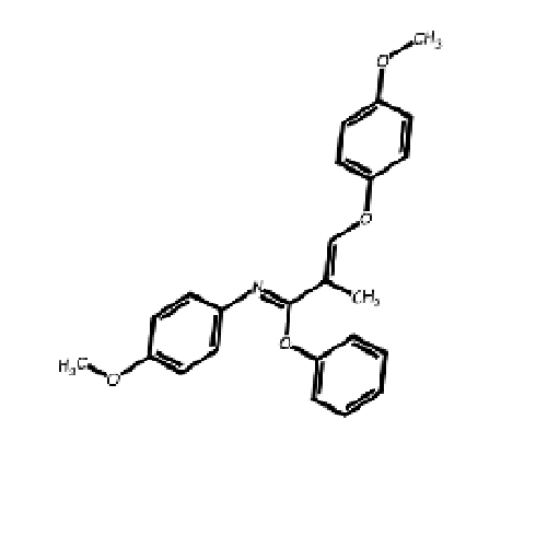 COc1ccc(N=C(Oc2ccccc2)C(C)=COc2ccc(OC)cc2)cc1